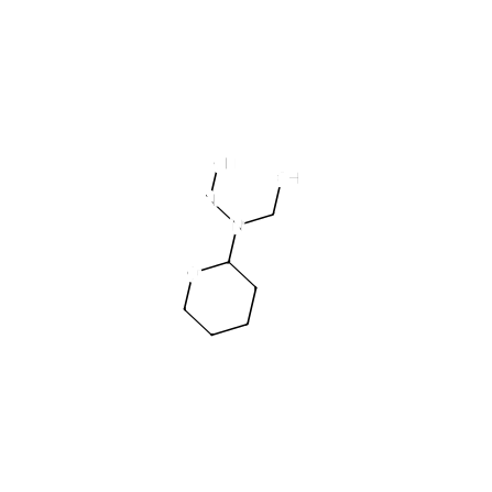 CCN(NC)C1CCCCO1